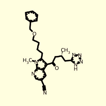 C[C@@H](CC(=O)c1c(CCCCOCc2ccccc2)n(C)c2ncc(C#N)cc12)Cc1nnn[nH]1